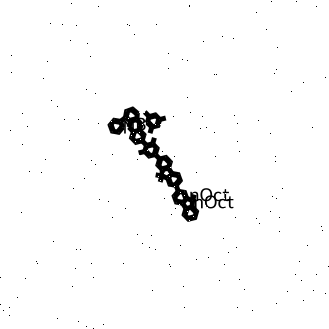 CCCCCCCCC1(CCCCCCCC)c2ccccc2-c2ccc(-c3ccc4c(c3)C(C)(C)c3cc(-c5cc(C)c(-c6ccc7c(c6)B(c6c(C)cc(C)cc6C)c6cccc8c9ccccc9n-7c68)c(C)c5)ccc3-4)cc21